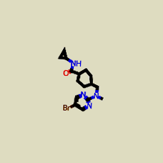 CN(CC1CCC(C(=O)NC2CC2)CC1)c1ncc(Br)cn1